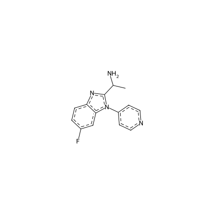 CC(N)c1nc2ccc(F)cc2n1-c1ccncc1